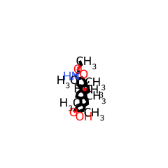 CCOC(=O)N[C@]1(C)CC[C@]2(C)CC[C@]3(C)C4=CC=C5C(=CC(=O)C(O)=C5C)[C@]4(C)CC[C@@]3(CC)[C@@H]2C1